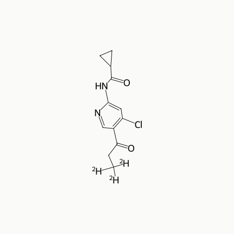 [2H]C([2H])([2H])CC(=O)c1cnc(NC(=O)C2CC2)cc1Cl